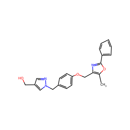 Cc1oc(-c2ccccc2)nc1COc1ccc(Cn2cc(CO)cn2)cc1